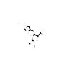 COC(=O)N[C@@H](CC1CN(C)C=N1)C(=O)C(C)C